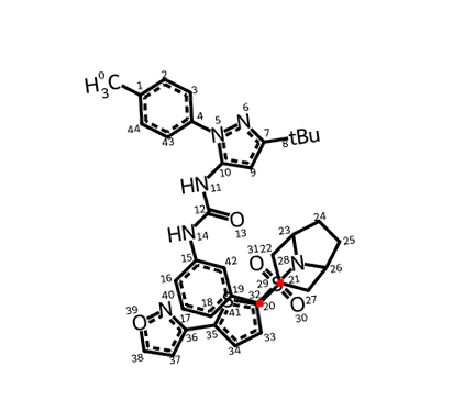 Cc1ccc(-n2nc(C(C)(C)C)cc2NC(=O)Nc2cccc(CC3CC4CCC(C3)N4S(=O)(=O)c3ccc(-c4ccon4)s3)c2)cc1